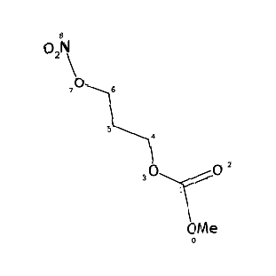 [CH2]OC(=O)OCCCO[N+](=O)[O-]